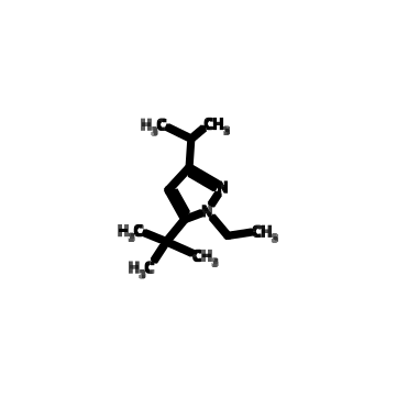 CCn1nc(C(C)C)cc1C(C)(C)C